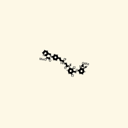 COCC(=O)N(Cc1cccnc1)c1ccc(/C=C/C(=O)NCC(=O)N(C)c2ccc(Cl)c(COc3cccc4c3nc(OC)n4C)c2Cl)cc1